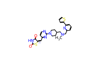 CN(Cc1cccc(-c2cccs2)n1)CC1CCN(c2nccc(/C=C3/SC(=O)NC3=O)n2)CC1